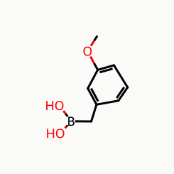 COc1cccc(CB(O)O)c1